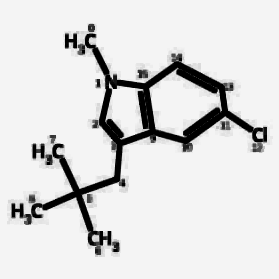 Cn1cc(CC(C)(C)C)c2cc(Cl)ccc21